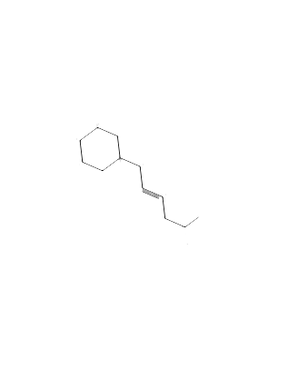 CC(C)[C@H](CC=CCC1CCCCC1)C(=O)O